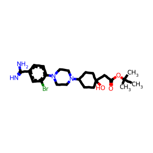 CC(C)(C)OC(=O)CC1(O)CCC(N2CCN(c3ccc(C(=N)N)cc3Br)CC2)CC1